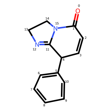 O=C1C=CC(c2ccccc2)C2=NCCN12